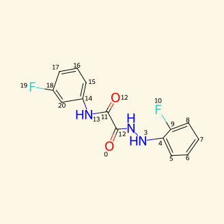 O=C(NNc1ccccc1F)C(=O)Nc1cccc(F)c1